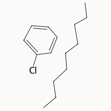 CCCCCCCCC.Clc1ccccc1